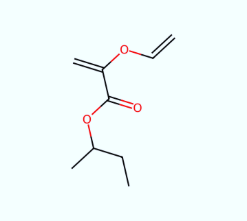 C=COC(=C)C(=O)OC(C)CC